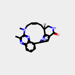 Cc1nc2cccc3c2nc1N(C)C/C=C\C[C@@H]1CNC(=O)c2cc-3[nH]c21